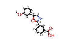 COc1cccc(-c2cnc(-c3cccc(C(=O)O)c3)o2)c1